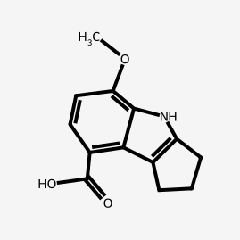 COc1ccc(C(=O)O)c2c3c([nH]c12)CCC3